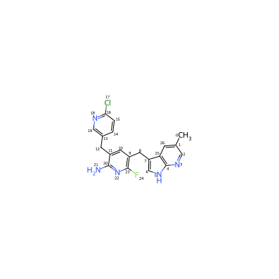 Cc1cnc2[nH]cc(Cc3cc(Cc4ccc(Cl)nc4)c(N)nc3F)c2c1